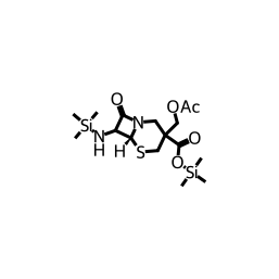 CC(=O)OCC1(C(=O)O[Si](C)(C)C)CS[C@@H]2C(N[Si](C)(C)C)C(=O)N2C1